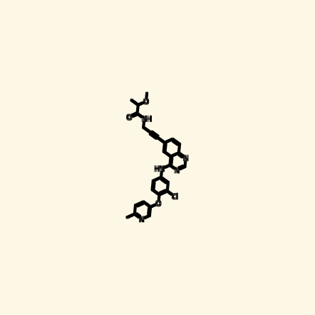 COC(C)C(=O)NCC#Cc1ccc2ncnc(Nc3ccc(Oc4ccc(C)nc4)c(Cl)c3)c2c1